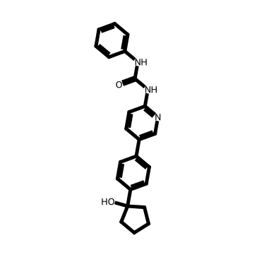 O=C(Nc1ccccc1)Nc1ccc(-c2ccc(C3(O)CCCC3)cc2)cn1